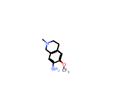 CN1CCc2cc(OC(F)(F)F)c(N)cc2C1